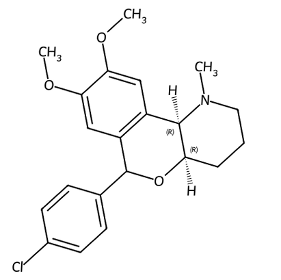 COc1cc2c(cc1OC)[C@@H]1[C@@H](CCCN1C)OC2c1ccc(Cl)cc1